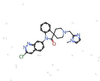 Cn1ccnc1CN1CCC2(CC1)C(=O)N(c1ccc3cc(Cl)nnc3c1)c1ccccc12